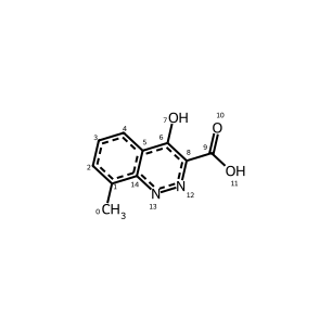 Cc1cccc2c(O)c(C(=O)O)nnc12